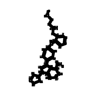 COCCNCc1ccccc1Oc1ccc(-c2cn(C3CCOC3)c3ncnc(N)c23)cc1